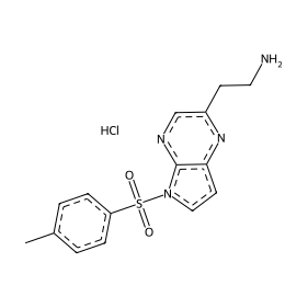 Cc1ccc(S(=O)(=O)n2ccc3nc(CCN)cnc32)cc1.Cl